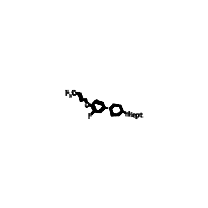 CCCCCCC[C@H]1CC[C@H](c2ccc(OC/C=C/C(F)(F)F)c(F)c2)CC1